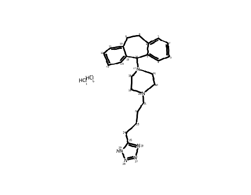 Cl.Cl.c1ccc2c(c1)CCc1ccccc1C2N1CCN(CCCCc2nnn[nH]2)CC1